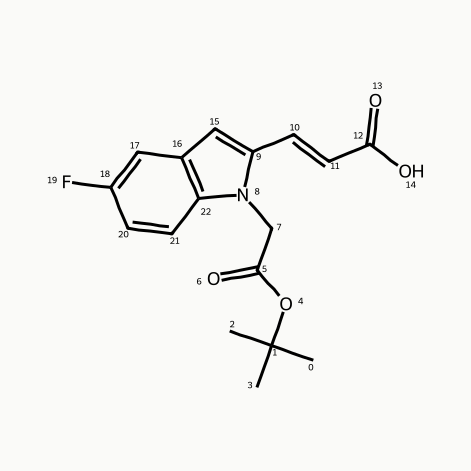 CC(C)(C)OC(=O)Cn1c(/C=C/C(=O)O)cc2cc(F)ccc21